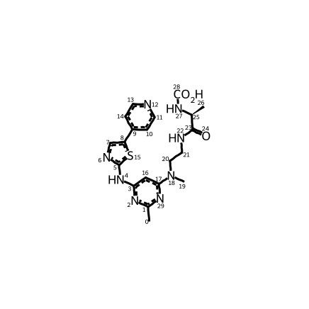 Cc1nc(Nc2ncc(-c3ccncc3)s2)cc(N(C)CCNC(=O)[C@H](C)NC(=O)O)n1